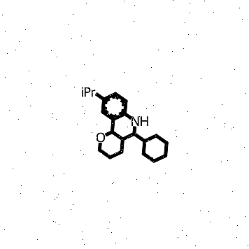 CC(C)c1ccc2c(c1)C1OCCCC1C(C1CCCCC1)N2